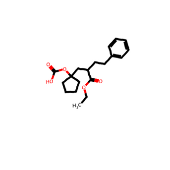 CCOC(=O)C(CCc1ccccc1)CC1(OC(=O)O)CCCC1